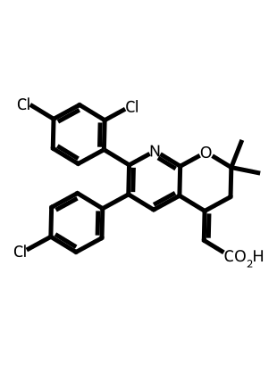 CC1(C)C/C(=C\C(=O)O)c2cc(-c3ccc(Cl)cc3)c(-c3ccc(Cl)cc3Cl)nc2O1